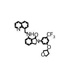 O=C1c2c(cccc2NCc2cccc3cccnc23)CN1c1cc(OC2CCOC2)cc(C(F)(F)F)c1